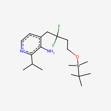 CC(C)c1nccc(CC(F)(F)CCO[Si](C)(C)C(C)(C)C)c1N